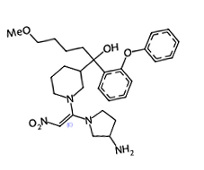 COCCCCC(O)(c1ccccc1Oc1ccccc1)C1CCCN(/C(=C\[N+](=O)[O-])N2CCC(N)C2)C1